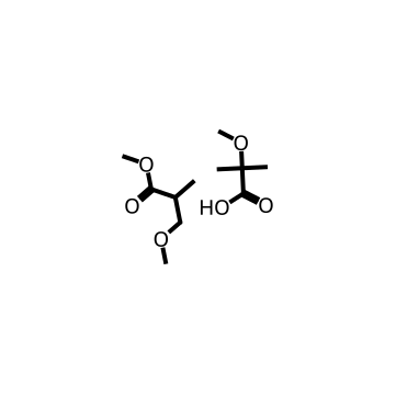 COC(C)(C)C(=O)O.COCC(C)C(=O)OC